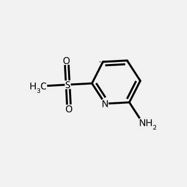 CS(=O)(=O)c1[c]ccc(N)n1